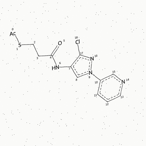 CC(=O)SCCC(=O)Nc1cn(-c2cccnc2)nc1Cl